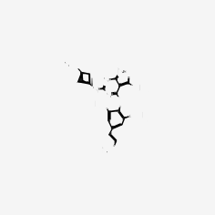 Cc1cc(/C=C/C#N)cc(C)c1Oc1nc(NC23CC(C#N)(C2)C3)nc2noc(C)c12